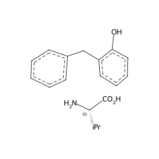 CC(C)[C@H](N)C(=O)O.Oc1ccccc1Cc1ccccc1